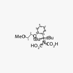 COCCOc1ccccc1C(N(C(=O)O)C(=O)O)(C(C)(C)C)C(C)(C)C